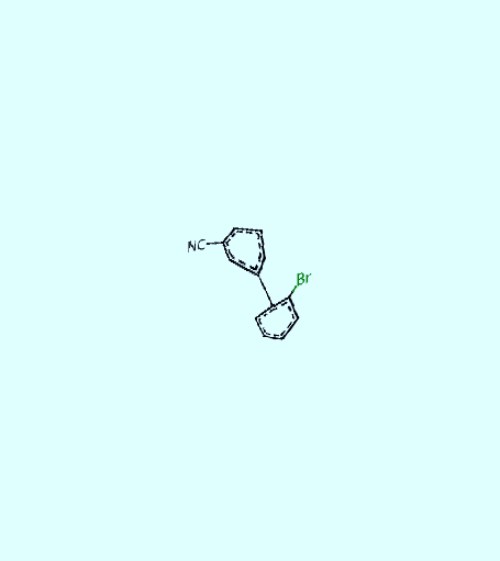 N#Cc1cccc(-c2ccccc2Br)c1